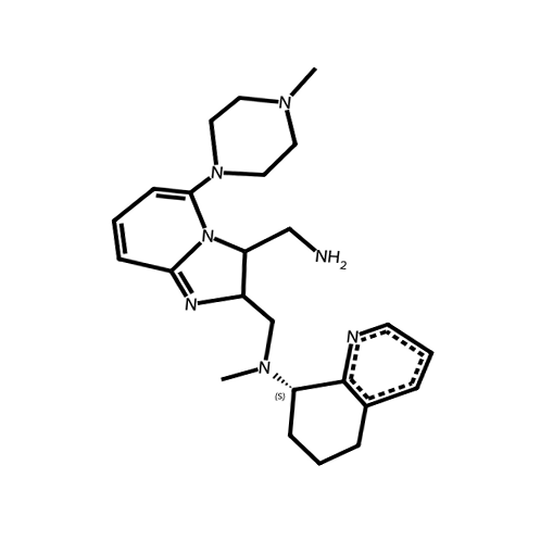 CN1CCN(C2=CC=CC3=NC(CN(C)[C@H]4CCCc5cccnc54)C(CN)N23)CC1